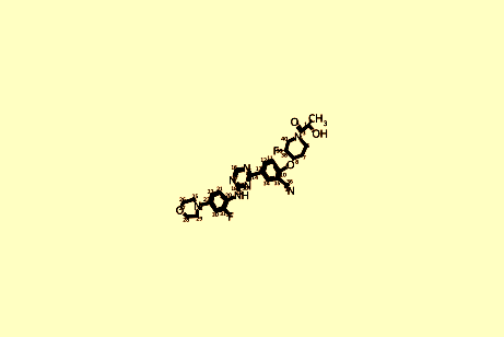 C[C@H](O)C(=O)N1CC[C@H](Oc2ccc(-c3ncnc(Nc4ccc(N5CCOCC5)cc4F)n3)cc2C#N)[C@H](F)C1